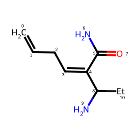 C=CCC=C(C(N)=O)C(N)CC